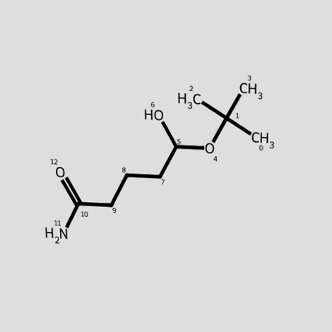 CC(C)(C)OC(O)CCCC(N)=O